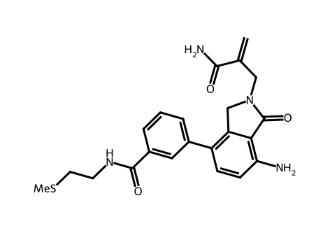 C=C(CN1Cc2c(-c3cccc(C(=O)NCCSC)c3)ccc(N)c2C1=O)C(N)=O